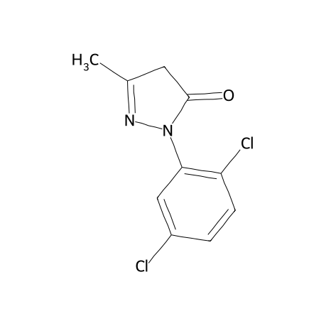 CC1=NN(c2cc(Cl)ccc2Cl)C(=O)C1